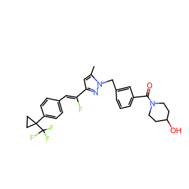 Cc1cc(C(F)=Cc2ccc(C3(C(F)(F)F)CC3)cc2)nn1Cc1cccc(C(=O)N2CCC(O)CC2)c1